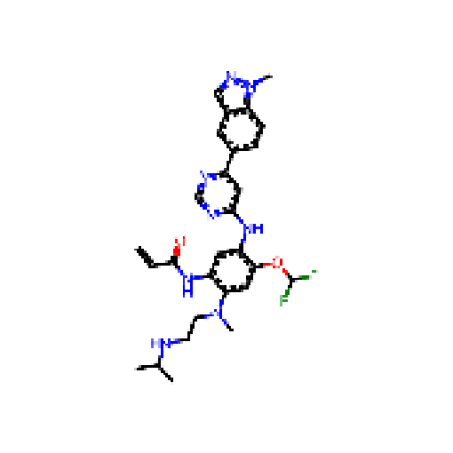 C=CC(=O)Nc1cc(Nc2cc(-c3ccc4c(cnn4C)c3)ncn2)c(OC(F)F)cc1N(C)CCNC(C)C